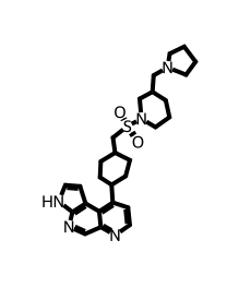 O=S(=O)(CC1CCC(c2ccnc3cnc4[nH]ccc4c23)CC1)N1CCCC(CN2CCCC2)C1